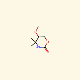 COC1COC(=O)NC1(C)C